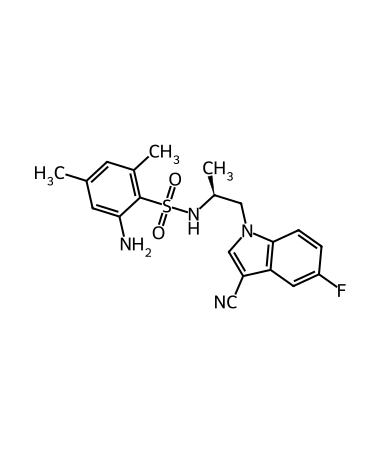 Cc1cc(C)c(S(=O)(=O)N[C@@H](C)Cn2cc(C#N)c3cc(F)ccc32)c(N)c1